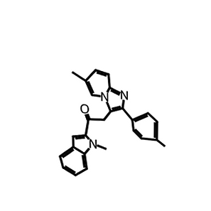 Cc1ccc(-c2nc3ccc(C)cn3c2CC(=O)c2cc3ccccc3n2C)cc1